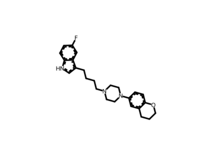 Fc1ccc2[nH]cc(CCCCN3CCN(c4ccc5c(c4)CCCO5)CC3)c2c1